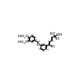 CCC(=CC=CC(O)(CC)CC)c1cccc(OCc2ccc(C(=O)O)c(C(=O)O)c2)c1